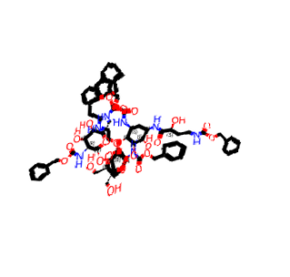 O=C(NCC[C@H](O)C(=O)N[C@@H]1C[C@H](NC(=O)OCc2ccccc2)[C@@H](O[C@H]2O[C@H](CO)CC[C@H]2NC(=O)OCc2ccccc2)[C@H](O[C@@H]2O[C@H](CO)[C@@H](O[C@H]3O[C@@H](CNC(=O)OCc4ccccc4)[C@@H](O)[C@H](O)[C@H]3NC(=O)OCc3ccccc3)[C@H]2OCCNCCc2ccccc2)[C@H]1O)OCc1ccccc1